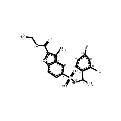 CCOC(=O)c1oc2ccc(S(=O)(=O)NC(C)c3ccc(F)cc3F)cc2c1C